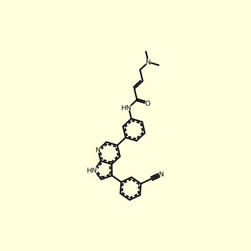 CN(C)CC=CC(=O)Nc1cccc(-c2cnc3[nH]cc(-c4cccc(C#N)c4)c3c2)c1